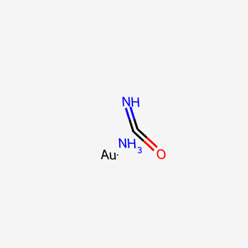 N.N=C=O.[Au]